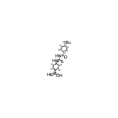 CC(C)(C)c1ccc(C(=O)NC(=S)Nc2ccc(B(O)O)cc2)cc1